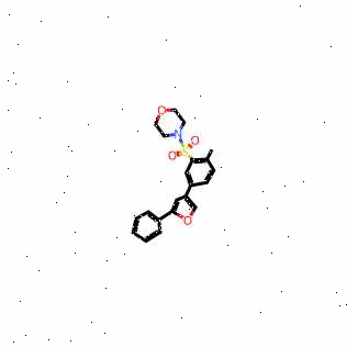 Cc1ccc(-c2coc(-c3ccccc3)c2)cc1S(=O)(=O)N1CCOCC1